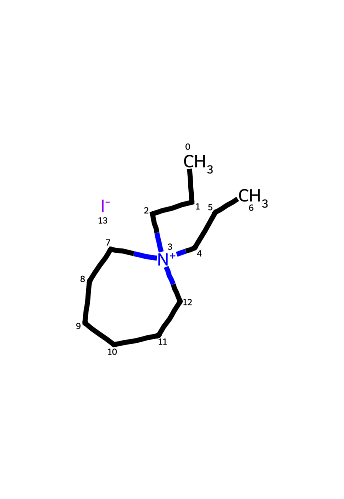 CCC[N+]1(CCC)CCCCCC1.[I-]